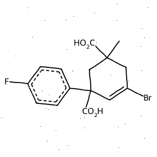 CC1(C(=O)O)CC(Br)=CC(C(=O)O)(c2ccc(F)cc2)C1